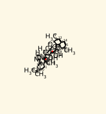 CCC(C)(C)C(=O)O[C@H]1C[C@@H](C)C=C2C=C[C@H](C)[C@H](CC[C@@H](O)C[C@@H](O)CC(=O)N3CCN=C3C3CN(C(C)C)CCN3C(C)C)[C@H]21